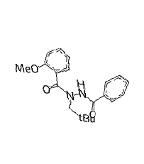 COc1ccccc1C(=O)N(CC(C)(C)C)NC(=O)c1ccccc1